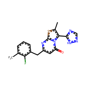 Cc1sc2nc(Cc3cccc(C(F)(F)F)c3F)cc(=O)n2c1-c1ncn[nH]1